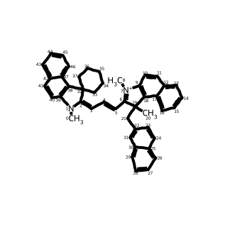 CN1/C(=C/C=C/C2=[N+](C)c3ccc4ccccc4c3C2(C)Cc2ccc3ccccc3c2)C2(CCCCC2)c2c1ccc1ccccc21